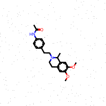 COc1cc2c(cc1OC)C(C)N(CCc1ccc(NC(C)=O)cc1)CC2